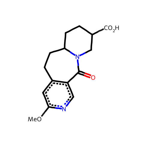 COc1cc2c(cn1)C(=O)N1CC(C(=O)O)CCC1CC2